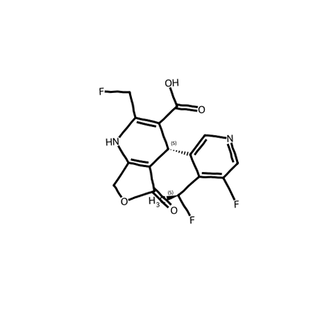 C[C@H](F)c1c(F)cncc1[C@H]1C(C(=O)O)=C(CF)NC2=C1C(=O)OC2